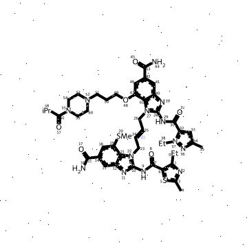 CCc1nc(C)sc1C(=O)Nc1nc2cc(C(N)=O)cc(SC)c2n1C/C=C/Cn1c(NC(=O)c2cc(C)nn2CC)nc2cc(C(N)=O)cc(OCCCN3CCN(C(=O)C(C)C)CC3)c21